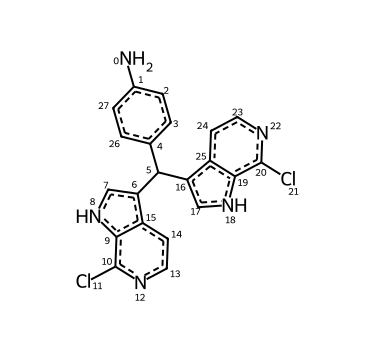 Nc1ccc(C(c2c[nH]c3c(Cl)nccc23)c2c[nH]c3c(Cl)nccc23)cc1